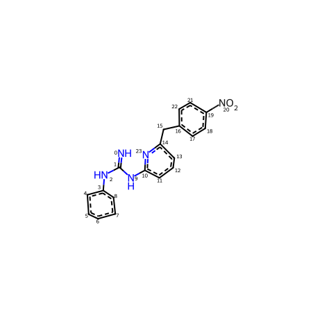 N=C(Nc1ccccc1)Nc1cccc(Cc2ccc([N+](=O)[O-])cc2)n1